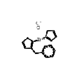 C1=CC[C]([Zr+2][C]2=C(Cc3ccccc3)C=CC2)=C1.[Cl-].[Cl-]